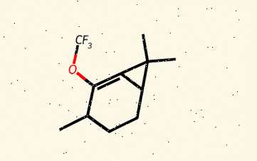 CC1CCC2C(=C1OC(F)(F)F)C2(C)C